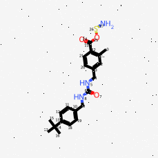 Cc1cc(CNC(=O)NCc2ccc(C(C)(C)C)cc2)ccc1C(=O)OSN